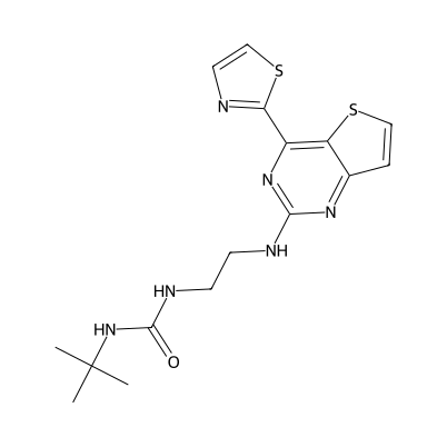 CC(C)(C)NC(=O)NCCNc1nc(-c2nccs2)c2sccc2n1